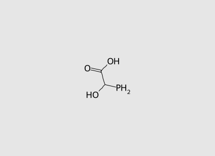 O=C(O)C(O)P